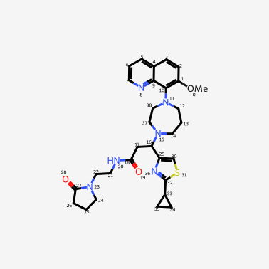 COc1ccc2cccnc2c1N1CCCN(C(CC(=O)NCCN2CCCC2=O)c2csc(C3CC3)n2)CC1